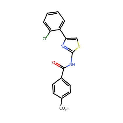 O=C(O)c1ccc(C(=O)Nc2nc(-c3ccccc3Cl)cs2)cc1